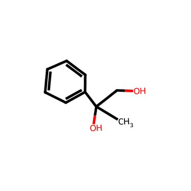 CC(O)(CO)c1ccccc1